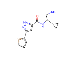 NCC(NC(=O)c1cc(-c2cccs2)n[nH]1)C1CC1